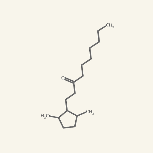 CCCCCCCC(=O)CCC1C(C)CCC1C